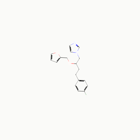 Clc1ccc(CCC(Cn2ccnc2)OCc2ccco2)cc1